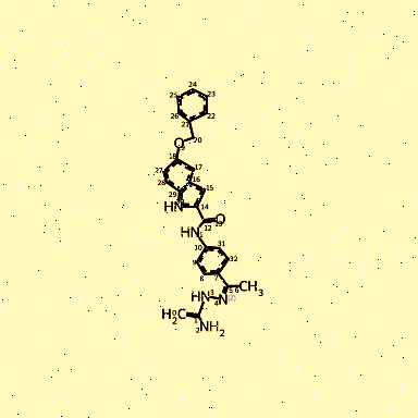 C=C(N)N/N=C(/C)c1ccc(NC(=O)c2cc3cc(OCc4ccccc4)ccc3[nH]2)cc1